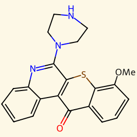 COc1cccc2c(=O)c3c(sc12)c(N1CCNCC1)nc1ccccc13